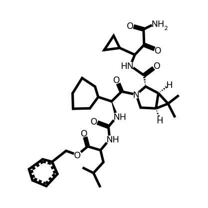 CC(C)CC(NC(=O)N[C@H](C(=O)N1C[C@H]2[C@@H]([C@H]1C(=O)NC(C(=O)C(N)=O)C1CC1)C2(C)C)C1CCCCC1)C(=O)OCc1ccccc1